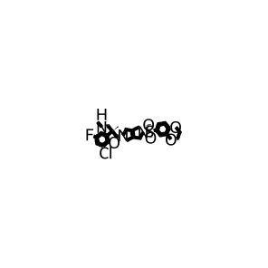 CNC[C@@](C)(C(=O)N1CC2=C(C1)CN(S(=O)(=O)c1ccc3c(c1)OCCO3)C2)c1cc(F)cc(Cl)c1